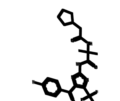 CC(C)(NC(=O)CC1CCCC1)C(=O)Nc1nc(C(F)(F)F)c(C(=O)c2ccc(F)cc2)s1